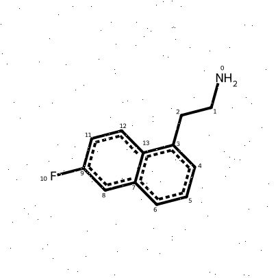 NCCc1cccc2cc(F)ccc12